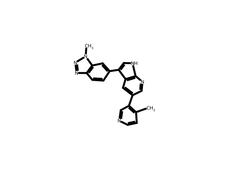 Cc1ccncc1-c1cnc2[nH]cc(-c3ccc4nnn(C)c4c3)c2c1